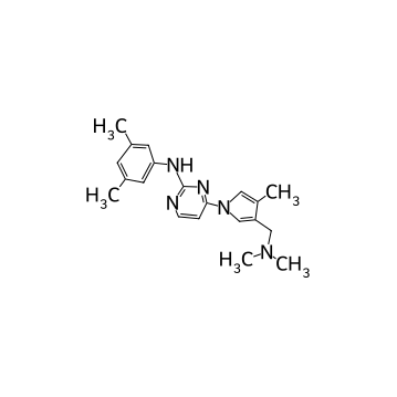 Cc1cc(C)cc(Nc2nccc(-n3cc(C)c(CN(C)C)c3)n2)c1